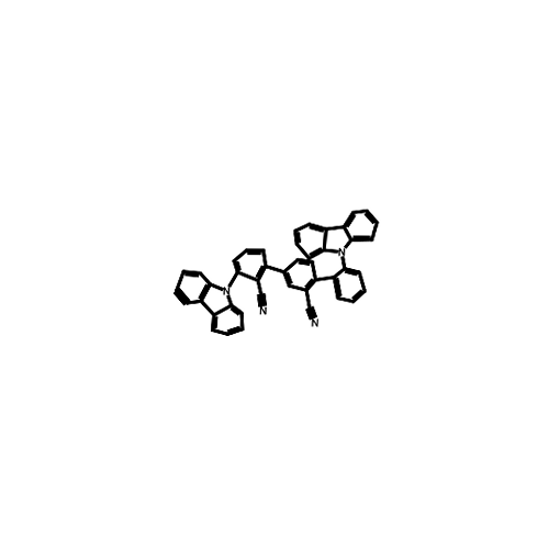 N#Cc1cc(-c2cccc(-n3c4ccc#cc4c4ccccc43)c2C#N)ccc1-c1ccccc1-n1c2ccccc2c2ccccc21